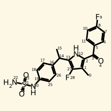 Cc1c(C(=O)c2ccc(F)cc2)[nH]c(C(C)c2ccc(NS(N)(=O)=O)cc2)c1F